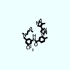 Cc1ccc(C(=O)Nc2cc(CN(C)CCN(C)C)cc(C(F)(F)F)c2)cc1-n1cc(-c2cnn(C)c2C)nn1